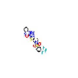 Nc1ccccc1NC(=O)c1nc2c(s1)CN(S(=O)(=O)c1cccc(C(F)(F)F)c1)CC2